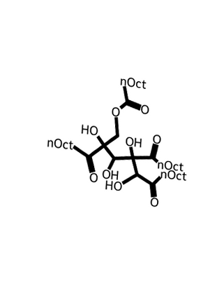 CCCCCCCCC(=O)OCC(O)(C(=O)CCCCCCCC)C(O)C(O)(C(=O)CCCCCCCC)C(O)C(=O)CCCCCCCC